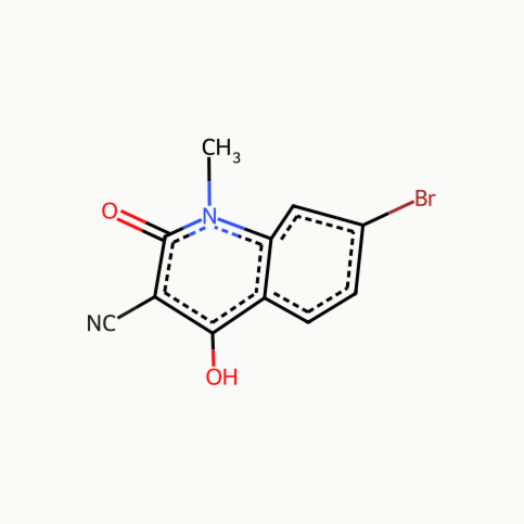 Cn1c(=O)c(C#N)c(O)c2ccc(Br)cc21